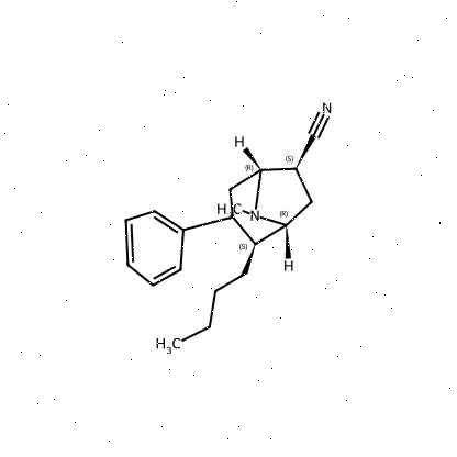 CCCC[C@H]1C(c2ccccc2)C[C@@H]2[C@@H](C#N)C[C@H]1N2C